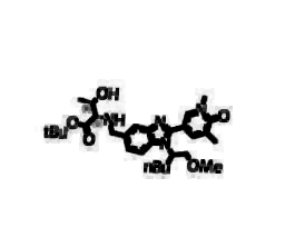 CCCCC(COC)n1c(-c2cc(C)c(=O)n(C)c2)nc2cc(CN[C@H](C(=O)OC(C)(C)C)[C@@H](C)O)ccc21